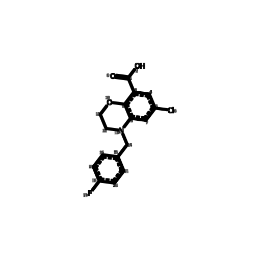 O=C(O)c1cc(Cl)cc2c1OCCN2Cc1ccc(F)cc1